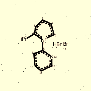 Br.CC(C)c1cccc[n+]1-c1ccccn1.[Br-]